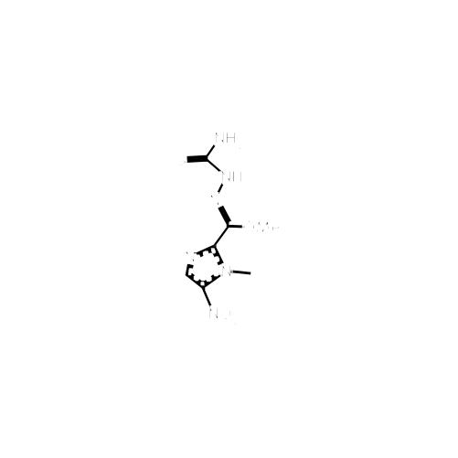 COC(=NNC(N)=S)c1ncc([N+](=O)[O-])n1C